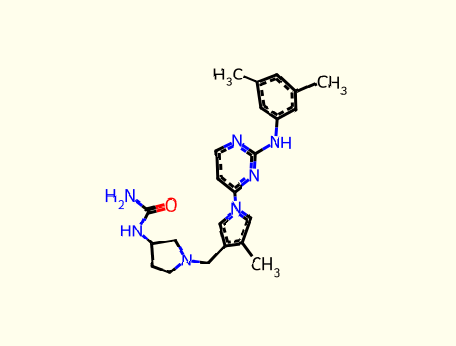 Cc1cc(C)cc(Nc2nccc(-n3cc(C)c(CN4CCC(NC(N)=O)C4)c3)n2)c1